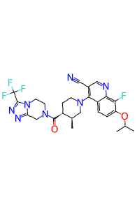 CC(C)Oc1ccc2c(N3CC[C@H](C(=O)N4CCn5c(nnc5C(F)(F)F)C4)[C@H](C)C3)c(C#N)cnc2c1F